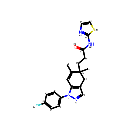 CC1=Cc2c(cnn2-c2ccc(F)cc2)CC1(C)CCC(=O)Nc1nccs1